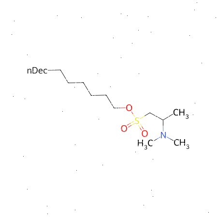 CCCCCCCCCCCCCCCCOS(=O)(=O)CC(C)N(C)C